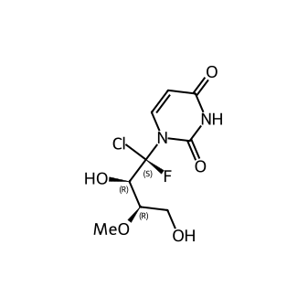 CO[C@H](CO)[C@@H](O)[C@](F)(Cl)n1ccc(=O)[nH]c1=O